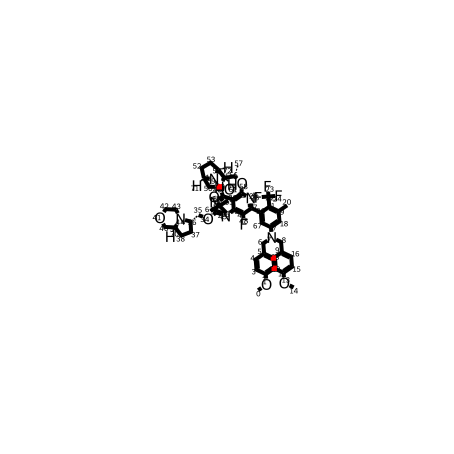 COc1ccc(CN(Cc2ccc(OC)cc2)c2cc(C)c(C(F)(F)F)c(-c3nc4c5c(nc(OC[C@@H]6CC[C@H]7COCCN76)nc5c3F)N3C[C@H]5CC[C@@H]([C@H]3[C@H](C)O4)N5C(=O)OC(C)(C)C)c2)cc1